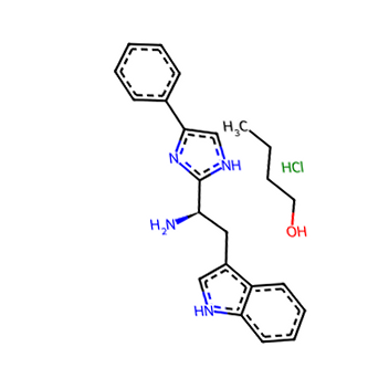 CCCCO.Cl.N[C@H](Cc1c[nH]c2ccccc12)c1nc(-c2ccccc2)c[nH]1